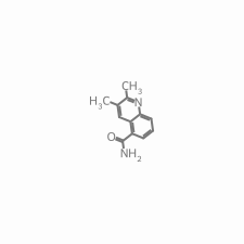 Cc1cc2c(C(N)=O)cccc2nc1C